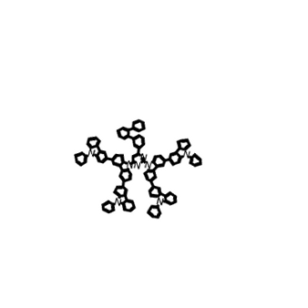 c1ccc(-c2ccccc2-c2cccc(-c3cc(-n4c5ccc(-c6ccc7c(c6)c6ccccc6n7-c6ccccc6)cc5c5cc(-c6ccc7c(c6)c6ccccc6n7-c6ccccc6)ccc54)nc(-n4c5ccc(-c6ccc7c(c6)c6ccccc6n7-c6ccccc6)cc5c5cc(-c6ccc7c(c6)c6ccccc6n7-c6ccccc6)ccc54)n3)c2)cc1